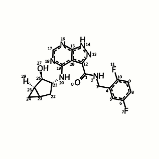 O=C(NCc1cc(F)ccc1F)c1n[nH]c2ncnc(N[C@@H]3CC4C[C@H]4[C@H]3O)c12